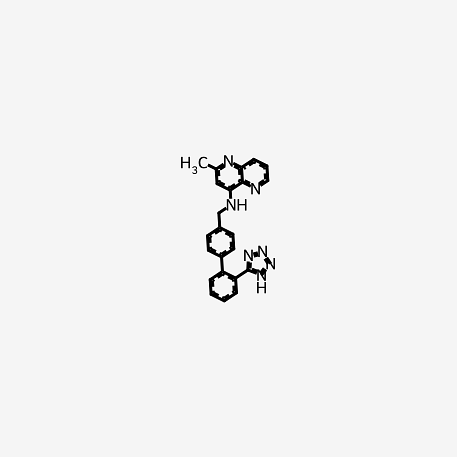 Cc1cc(NCc2ccc(-c3ccccc3-c3nnn[nH]3)cc2)c2ncccc2n1